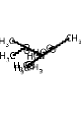 CCCCCCCCCCCOC(=O)CCCC(O)CN(CCCCCCC(=O)OC(C)(C)C)CC(O)CCCCCC(=O)OC(CCCCCCCC)CCCCCCCC